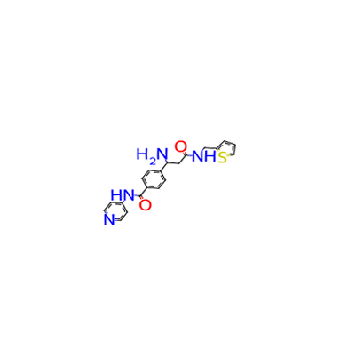 NC(CC(=O)NCc1cccs1)c1ccc(C(=O)Nc2ccncc2)cc1